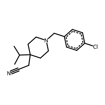 CC(C)C1(CC#N)CCN(Cc2ccc(Cl)cc2)CC1